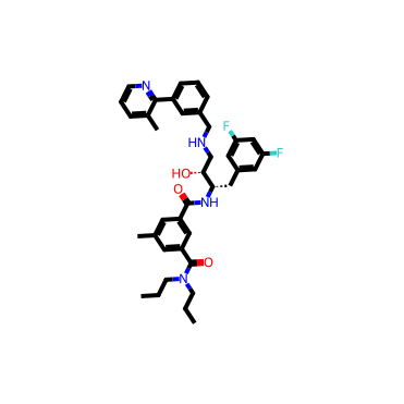 CCCN(CCC)C(=O)c1cc(C)cc(C(=O)N[C@@H](Cc2cc(F)cc(F)c2)[C@H](O)CNCc2cccc(-c3ncccc3C)c2)c1